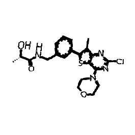 Cc1c(-c2cccc(CNC(=O)[C@H](C)O)c2)sc2c(N3CCOCC3)nc(Cl)nc12